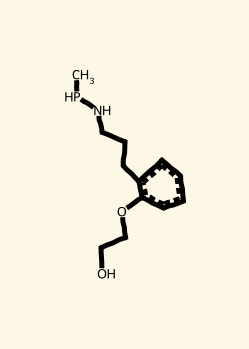 CPNCCCc1ccccc1OCCO